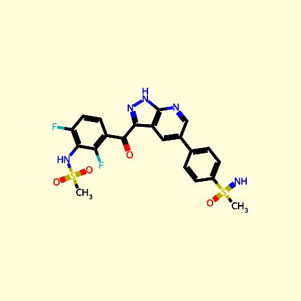 CS(=N)(=O)c1ccc(-c2cnc3[nH]nc(C(=O)c4ccc(F)c(NS(C)(=O)=O)c4F)c3c2)cc1